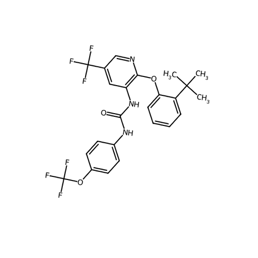 CC(C)(C)c1ccccc1Oc1ncc(C(F)(F)F)cc1NC(=O)Nc1ccc(OC(F)(F)F)cc1